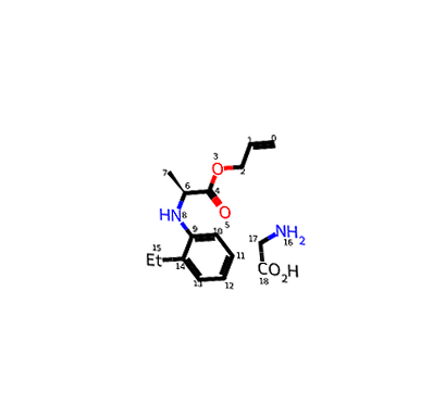 C=CCOC(=O)[C@H](C)Nc1ccccc1CC.NCC(=O)O